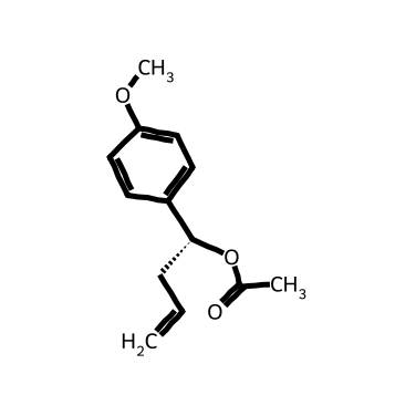 C=CC[C@@H](OC(C)=O)c1ccc(OC)cc1